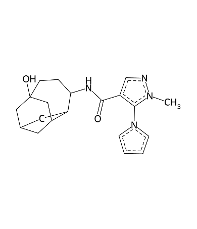 Cn1ncc(C(=O)NC2CCC3(O)CC4CC(C3)C2C4)c1-n1cccc1